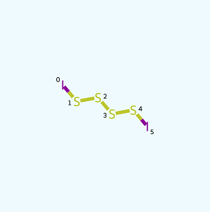 ISSSSI